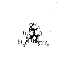 CNC(=O)C(C(F)=NO)C(C)(C)SC